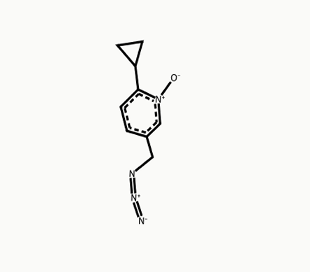 [N-]=[N+]=NCc1ccc(C2CC2)[n+]([O-])c1